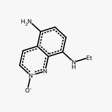 CCNc1ccc(N)c2cc[n+]([O-])nc12